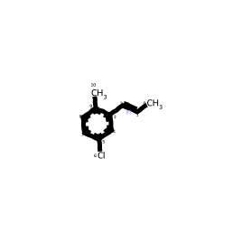 C/C=C/c1cc(Cl)ccc1C